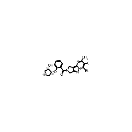 CCc1c(Cl)c(C)nc2c3c(nn12)CN(C(=O)c1ccccc1O[C@H]1CNC[C@@H]1O)C3